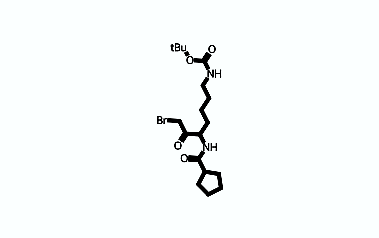 CC(C)(C)OC(=O)NCCCCC(NC(=O)C1CCCC1)C(=O)CBr